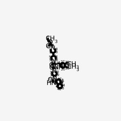 CCOC(=O)CN1CCC(C2CCN(C(=O)[C@@H](Cc3ccc(CC)c(CC)c3)NC(=O)N3CCC(n4c(=O)[nH]c5c6ccccc6ncc54)CC3)CC2)CC1